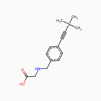 C[Si](C)(C)C#Cc1ccc(CNCC(=O)O)cc1